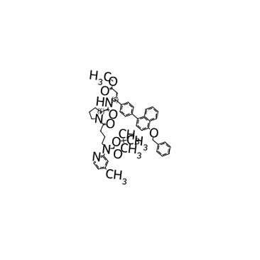 COC(=O)C[C@H](NC(=O)[C@@H]1CCCN1C(=O)CCCN(C(=O)OC(C)(C)C)c1cc(C)ccn1)c1ccc(-c2ccc(OCc3ccccc3)c3ccccc23)cc1